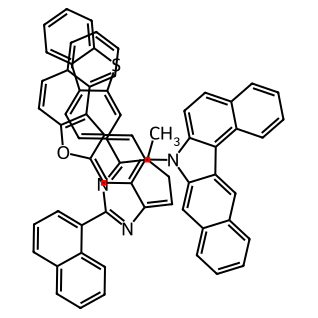 CC1C/C=C(c2cc3oc4ccc5ccccc5c4c3cc2-n2c3cc4ccccc4cc3c3c4ccccc4ccc32)/N=C(c2cccc3ccccc23)\N=C/1c1ccc2c(c1)sc1ccccc12